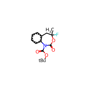 CC(C)(C)OC(=O)N1C(=O)OC(C)(F)Cc2ccccc21